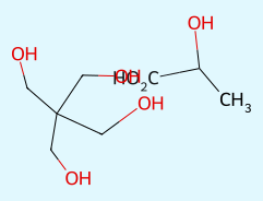 CC(O)C(=O)O.OCC(CO)(CO)CO